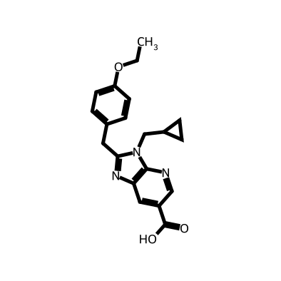 CCOc1ccc(Cc2nc3cc(C(=O)O)cnc3n2CC2CC2)cc1